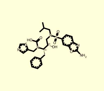 CC(C)CN(C[C@H](O)[C@H](Cc1ccccc1)N(Cc1cncs1)C(=O)O)S(=O)(=O)c1ccc2nc(N)oc2c1